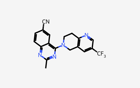 Cc1nc(N2CCc3ncc(C(F)(F)F)cc3C2)c2cc(C#N)ccc2n1